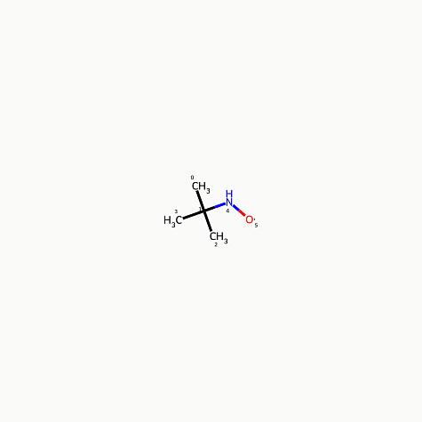 CC(C)(C)N[O]